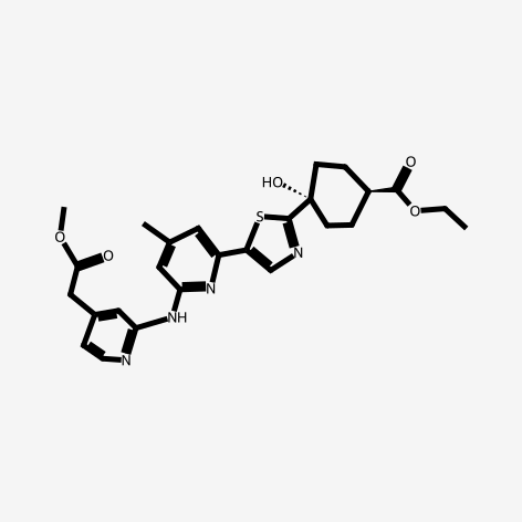 CCOC(=O)[C@H]1CC[C@@](O)(c2ncc(-c3cc(C)cc(Nc4cc(CC(=O)OC)ccn4)n3)s2)CC1